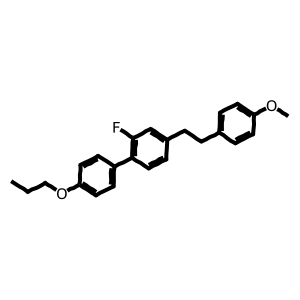 CCCOc1ccc(-c2ccc(CCc3ccc(OC)cc3)cc2F)cc1